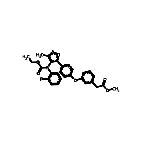 CCOC(=O)N(c1ccccc1F)c1c(C)noc1-c1ccc(Oc2cccc(CC(=O)OC)c2)cc1